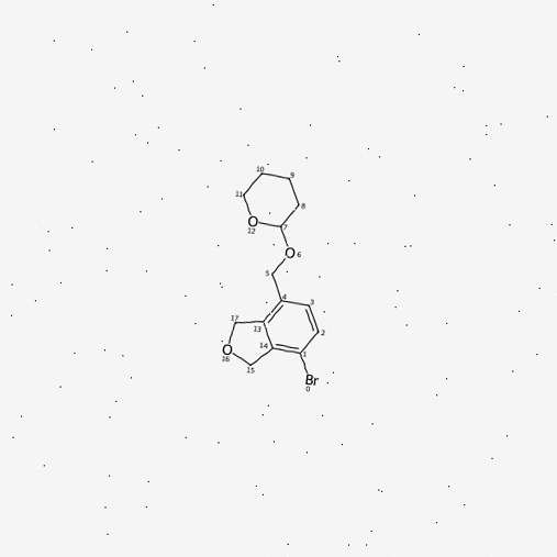 Brc1ccc(COC2CCCCO2)c2c1COC2